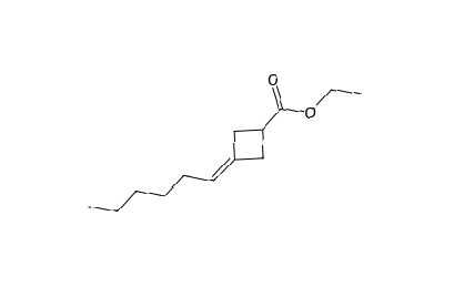 CCCCCC=C1CC(C(=O)OCC)C1